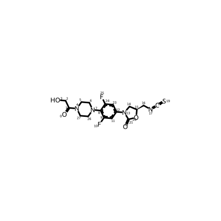 O=C(CO)N1CCN(c2c(F)cc(N3C[C@@H](CN=C=S)OC3=O)cc2F)CC1